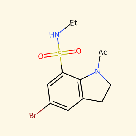 CCNS(=O)(=O)c1cc(Br)cc2c1N(C(C)=O)CC2